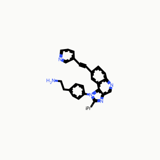 CC(C)c1nc2cnc3ccc(C#Cc4cccnc4)cc3c2n1-c1ccc(CCN)cc1